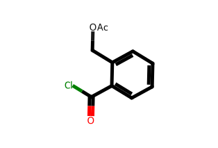 CC(=O)OCc1ccccc1C(=O)Cl